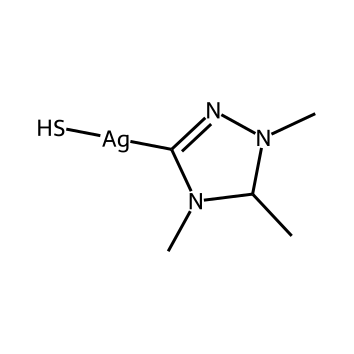 CC1N(C)N=[C]([Ag][SH])N1C